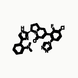 CN(C)c1ccccc1-c1c[nH]c([C@@H]2CCC3CC(c4c(-n5cnnc5)ccc(Cl)c4F)=CC(=O)N32)n1